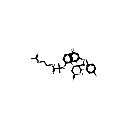 CC(=O)NCCNC(=O)C(C)(C)Oc1ccc(Cl)cc1[C@H]1CC(=O)N[C@@H](c2cc(F)ccc2C)[C@]12C(=O)Nc1cc(Cl)ccc12